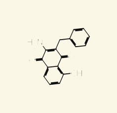 Cc1cccc2c1C(=O)C(Cc1ccccc1)=C(N)C2=O